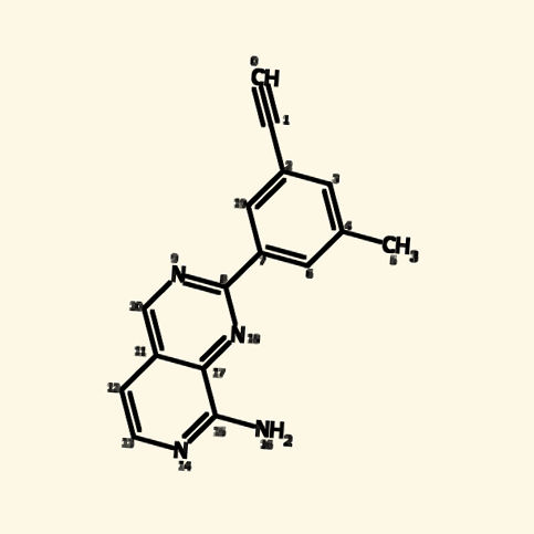 C#Cc1cc(C)cc(-c2ncc3ccnc(N)c3n2)c1